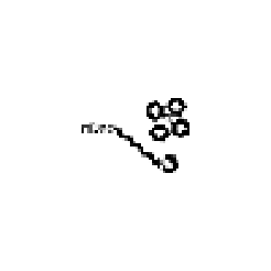 CCCCCCCCCCCCCCCCCC[n+]1ccccc1.c1ccc([B-](c2ccccc2)(c2ccccc2)c2ccccc2)cc1